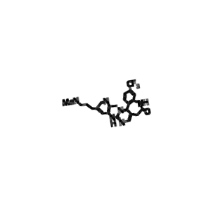 CNCCCc1cnc(C)c(Nc2ncc3c(n2)-c2ccc(C(F)(F)F)cc2NC(=O)C3)c1